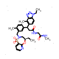 CC[C@@H]1CN(Cc2cc(C(CC(=O)NCC(=O)NC)c3ccc4c(nnn4CC)c3C)ccc2C)S(=O)(=O)c2cccnc2O1